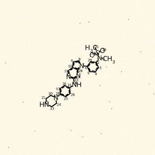 CN(c1cccc(-n2ccc3cnc(Nc4ccc(N5CCNCC5)cc4)nc32)c1)S(C)(=O)=O